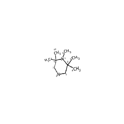 CN1C(C)(C)C[N]CC1(C)C